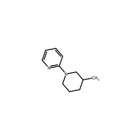 CC1CCCN(c2ccc[c]n2)C1